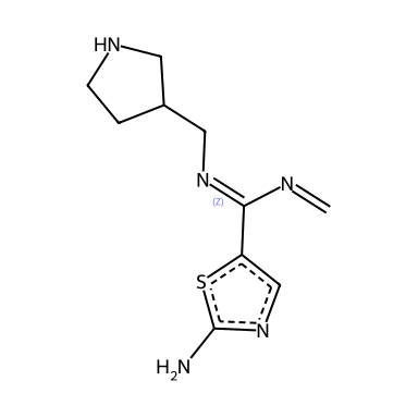 C=N/C(=N\CC1CCNC1)c1cnc(N)s1